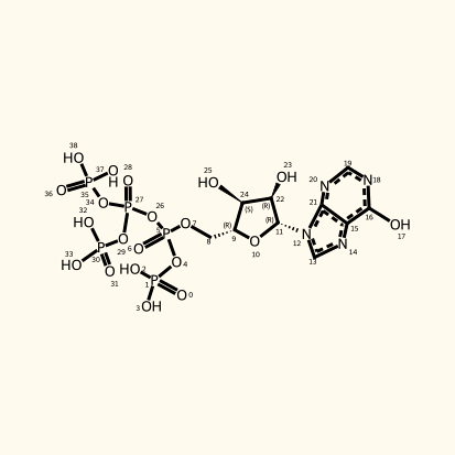 O=P(O)(O)OP(=O)(OC[C@H]1O[C@@H](n2cnc3c(O)ncnc32)[C@H](O)[C@@H]1O)OP(=O)(OP(=O)(O)O)OP(=O)(O)O